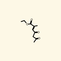 CCOC(=O)C(C)=CC(=O)CC(C)=O